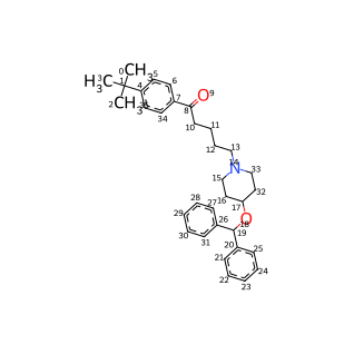 CC(C)(C)c1ccc(C(=O)CCCCN2CCC(OC(c3ccccc3)c3ccccc3)CC2)cc1